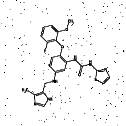 COc1cccc(F)c1Oc1ccc(NCc2[nH]cnc2C)cc1NC(=O)Nc1nccs1